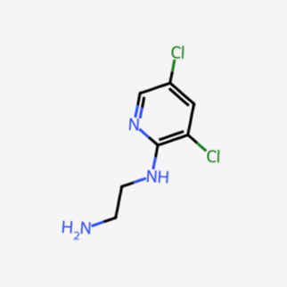 NCCNc1ncc(Cl)cc1Cl